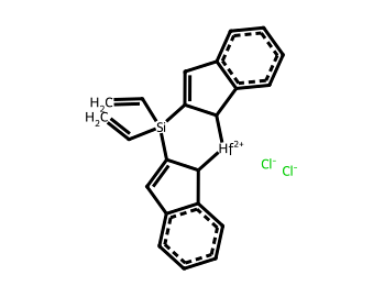 C=C[Si]1(C=C)C2=Cc3ccccc3[CH]2[Hf+2][CH]2C1=Cc1ccccc12.[Cl-].[Cl-]